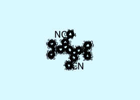 N#Cc1ccccc1-c1ccc2c(c1)c1cc3c4ccc(N(c5ccccc5)c5ccccc5)cc4c4ccc(-c5ccccc5C#N)cc4c3cc1c1ccc(N(c3ccccc3)c3ccccc3)cc21